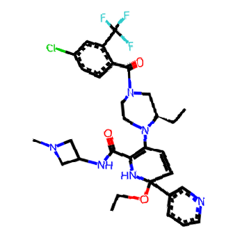 CCOC1(c2cccnc2)C=CC(N2CCN(C(=O)c3ccc(Cl)cc3C(F)(F)F)C[C@H]2CC)=C(C(=O)NC2CN(C)C2)N1